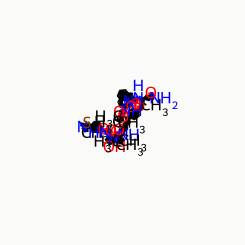 Cc1ncsc1-c1ccc(ONC(=O)[C@@H]2C[C@@H](O)CN2C(=O)[C@@H](NC(=O)CCCCc2ccc(CO[C@H](C)[C@H](CCC(N)=O)NC(=O)[C@@H]3Cc4cccc5c4N3C(=O)[C@@H](NC(=O)OC(C)(C)C)CC5)cc2)C(C)(C)C)cc1